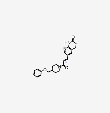 O=C1CCc2cc(/C=C/C(=O)N3CC=C(COc4ccccc4)CC3)cnc2N1